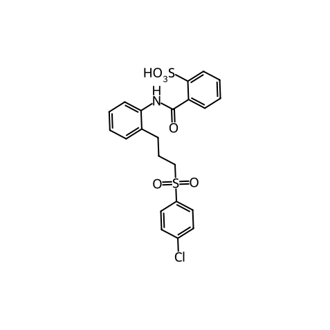 O=C(Nc1ccccc1CCCS(=O)(=O)c1ccc(Cl)cc1)c1ccccc1S(=O)(=O)O